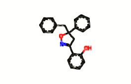 Oc1ccccc1C1=NOC(Cc2ccccc2)(c2ccccc2)C1